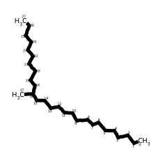 CCCCCCCCCCCCCCCCC(C)CCCCCCCCCC